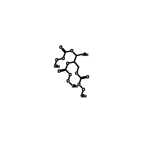 CCCCC(OC(=O)OOC(C)(C)C)C(COC(=O)OOC(C)(C)C)OC(=O)OOC(C)(C)C